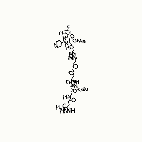 COC(=O)C1=C(COCc2cn(CCOCCOCCNC(=O)[C@H](CCCCNC(=O)CCC3(C)NN3)NC(=O)OCC(C)C)nn2)NC(c2ccncc2)=NC1c1ccc(F)cc1Cl